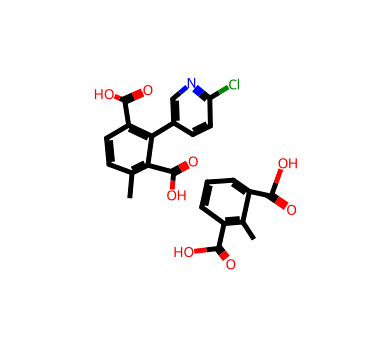 Cc1c(C(=O)O)cccc1C(=O)O.Cc1ccc(C(=O)O)c(-c2ccc(Cl)nc2)c1C(=O)O